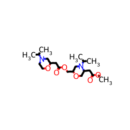 COC(=O)CC1COC(COC(=O)CC2CN(C(C)C)CCO2)CN1C(C)C